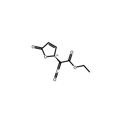 CCOC(=O)C(=C=O)[C@@H]1C=CC(=O)O1